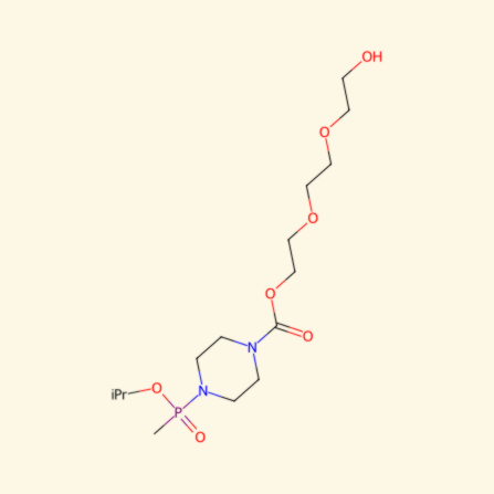 CC(C)OP(C)(=O)N1CCN(C(=O)OCCOCCOCCO)CC1